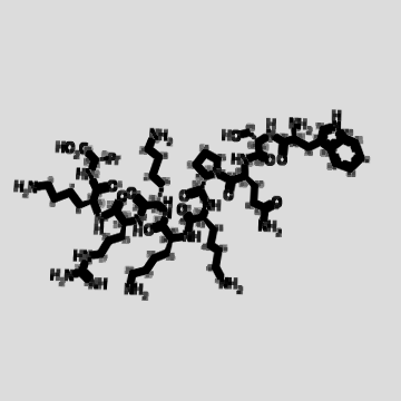 CC(C)[C@H](NC(=O)[C@H](CCCCN)NC(=O)[C@H](CCCNC(=N)N)NC(=O)[C@H](CCCCN)NC(=O)[C@H](CCCCN)NC(=O)[C@H](CCCCN)NC(=O)[C@@H]1CCCN1C(=O)[C@H](CCC(N)=O)NC(=O)[C@H](CO)NC(=O)[C@@H](N)Cc1c[nH]c2ccccc12)C(=O)O